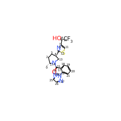 C[C@@H]1CC[C@@H](c2nc([C@@H](O)C(F)(F)F)cs2)CN1C(=O)c1ccccc1-n1nccn1